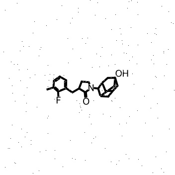 Cc1cccc(CC2CCN(C3C4CC5CC3CC(O)(C5)C4)C2=O)c1F